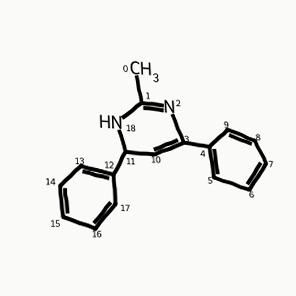 CC1=NC(c2ccccc2)=CC(c2ccccc2)N1